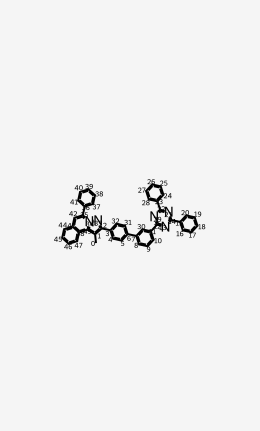 Cc1c(-c2ccc(-c3cccc(-c4nc(-c5ccccc5)nc(-c5ccccc5)n4)c3)cc2)nn2c(-c3ccccc3)cc3ccccc3c12